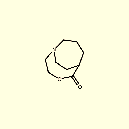 O=C1OCCN2CCCC1CC2